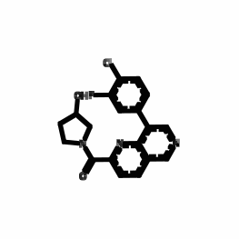 O=C(c1ccc2cncc(-c3ccc(Cl)c(F)c3)c2n1)N1CCC(O)C1